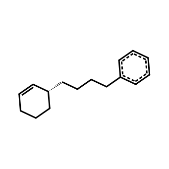 C1=C[C@H](CCCCc2ccccc2)CCC1